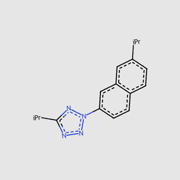 CC(C)c1ccc2ccc(-n3nnc(C(C)C)n3)cc2c1